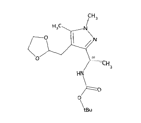 Cc1c(CC2OCCO2)c([C@H](C)NC(=O)OC(C)(C)C)nn1C